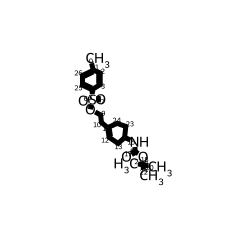 Cc1ccc(S(=O)(=O)OCCC2=CCC(NC(=O)OC(C)(C)C)CC2)cc1